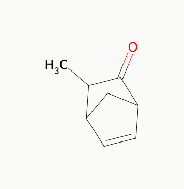 CC1C(=O)C2C=CC1C2